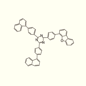 c1ccc2c(-c3ccc(-c4nc(-c5ccc(-c6cccc7ccccc67)cc5)nc(-c5ccc(-c6cccc7c6oc6ccccc67)cc5)n4)cc3)cccc2c1